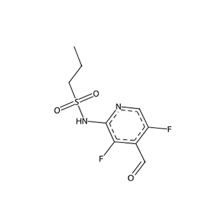 CCCS(=O)(=O)Nc1ncc(F)c(C=O)c1F